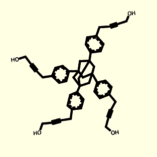 OCC#CCc1ccc(C23CC4(c5ccc(CC#CCO)cc5)CC(c5ccc(CC#CCO)cc5)(C2)CC(c2ccc(CC#CCO)cc2)(C3)C4)cc1